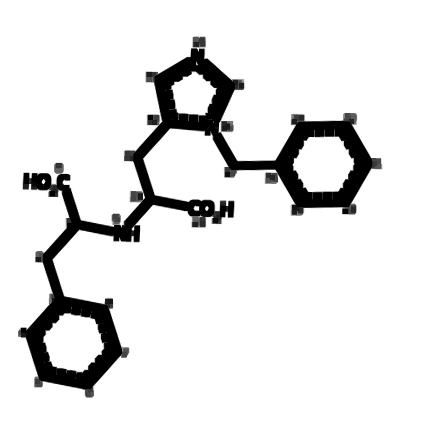 O=C(O)C(Cc1ccccc1)NC(Cc1cncn1Cc1ccccc1)C(=O)O